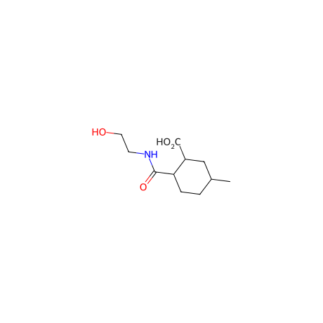 CC1CCC(C(=O)NCCO)C(C(=O)O)C1